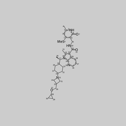 CSc1cc(C)[nH]c(=O)c1CNC(=O)c1c(C)n([C@H](C)C2CCC(N3CC(COC4CC4)C3)CC2)c2ncccc12